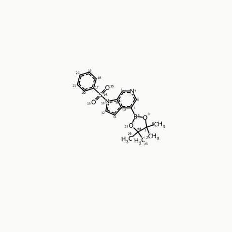 CC1(C)OB(c2cncc3c2ccn3S(=O)(=O)c2ccccc2)OC1(C)C